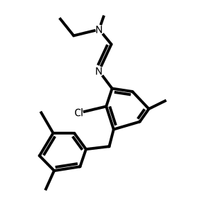 CCN(C)C=Nc1cc(C)cc(Cc2cc(C)cc(C)c2)c1Cl